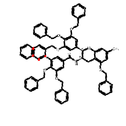 Cc1cc(OCc2ccccc2)c2c(c1)O[C@H](c1cc(OCc3ccccc3)c(OCc3ccccc3)c(OCc3ccccc3)c1)[C@H](NC(=O)c1cc(OCc3ccccc3)c(OCc3ccccc3)c(OCc3ccccc3)c1)C2